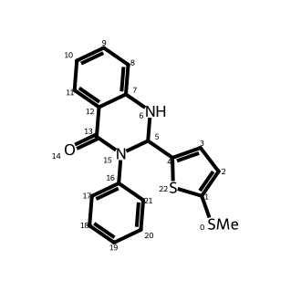 CSc1ccc(C2Nc3ccccc3C(=O)N2c2ccccc2)s1